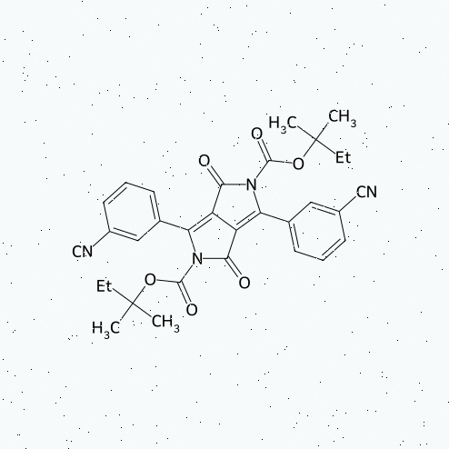 [C-]#[N+]c1cccc(C2=C3C(=O)N(C(=O)OC(C)(C)CC)C(c4cccc(C#N)c4)=C3C(=O)N2C(=O)OC(C)(C)CC)c1